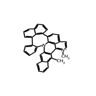 Cc1c2c(cc3ccccc13)N1c3ccccc3-c3cccc4cccc(c34)-c3ccc4cc[n+](C)c-2c4c31